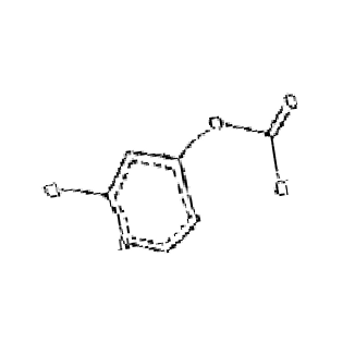 O=C(Cl)Oc1ccnc(Cl)c1